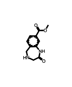 COC(=O)c1ccc2c(c1)NC(=O)CNC2